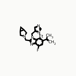 C=C(C)c1cc(F)c2nc(CN3CC4CC4C3)n(Cc3cncn3CC)c2c1